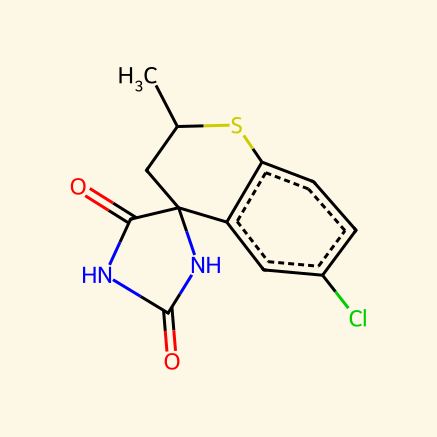 CC1CC2(NC(=O)NC2=O)c2cc(Cl)ccc2S1